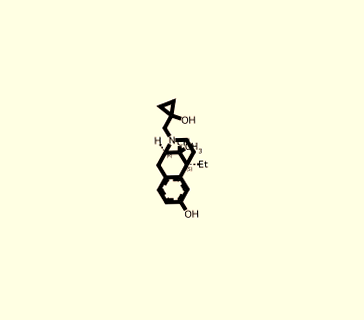 CC[C@]12CCN(CC3(O)CC3)[C@H](Cc3ccc(O)cc31)C2(C)C